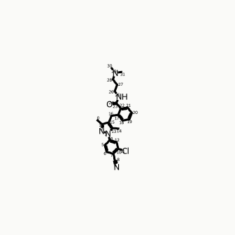 Cc1nn(-c2ccc(C#N)c(Cl)c2)c(C)c1Cc1ccccc1C(=O)NCCCN(C)C